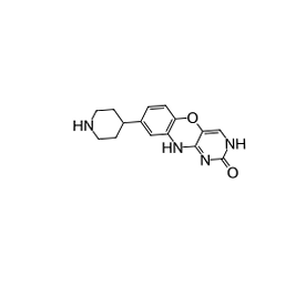 O=c1nc2c(c[nH]1)Oc1ccc(C3CCNCC3)cc1N2